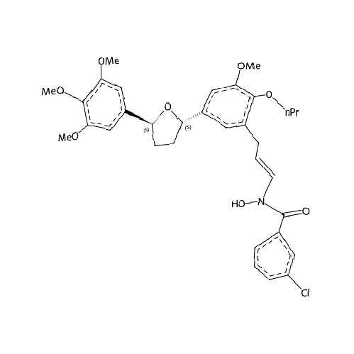 CCCOc1c(CC=CN(O)C(=O)c2cccc(Cl)c2)cc([C@@H]2CC[C@@H](c3cc(OC)c(OC)c(OC)c3)O2)cc1OC